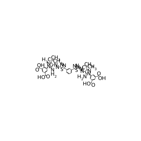 CC(C)(C)c1nn(-c2cc(C(=O)O)cc(C(=O)O)c2)c(N)c1N=Nc1nnc(-c2cccc(-c3nnc(N=Nc4c(C(C)(C)C)nn(-c5cc(C(=O)O)cc(C(=O)O)c5)c4N)s3)c2)s1